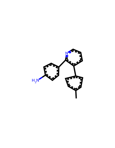 Cc1ccc(-c2cccnc2-c2ccc(N)cc2)cc1